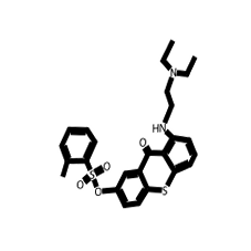 CCN(CC)CCNc1cccc2sc3ccc(OS(=O)(=O)c4ccccc4C)cc3c(=O)c12